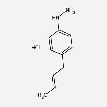 CC=CCc1ccc(NN)cc1.Cl